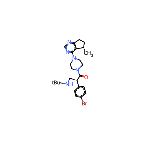 C[C@@H]1CCc2ncnc(N3CCN(C(=O)[C@H](CNC(C)(C)C)c4ccc(Br)cc4)CC3)c21